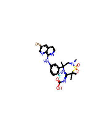 CN1CC(C)(c2cc(Nc3nccc4cc(Br)cnc34)ccc2F)N/C(=N\C(=O)O)C(C)(C)S1(=O)=O